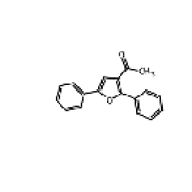 CC(=O)c1cc(-c2ccccc2)oc1-c1ccccc1